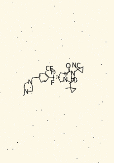 CN1CCN(Cc2ccc(C(F)(F)[C@@H]3C[C@@H](C(=O)NC4(C#N)CC4)N(C(=O)C4(C)CC4)C3)c(C(F)(F)F)c2)CC1